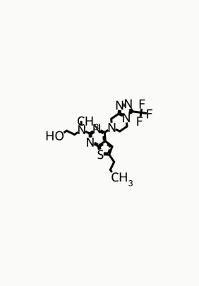 CCCc1cc2c(N3CCn4c(nnc4C(F)(F)F)C3)nc(N(C)CCO)nc2s1